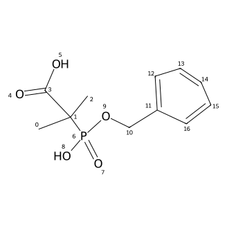 CC(C)(C(=O)O)P(=O)(O)OCc1ccccc1